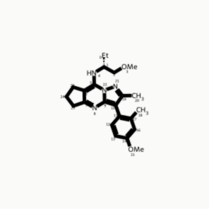 CC[C@H](COC)Nc1c2c(nc3c(-c4ccc(OC)cc4C)c(C)nn13)CCC2